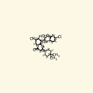 C[C@@H](Nc1ccc(Cl)nc1C(=O)O)c1cc(Cl)cn2c(=O)cc(N3CCC(C)(C)CC3)nc12